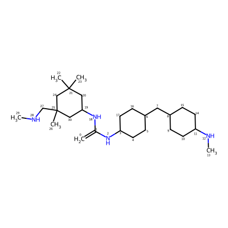 C=C(NC1CCC(CC2CCC(NC)CC2)CC1)NC1CC(C)(C)CC(C)(CNC)C1